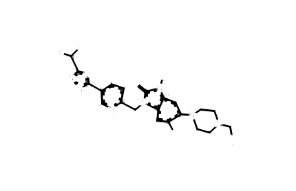 Cn1c(=O)n(Cc2ccc(-c3nnc(C(F)F)o3)cn2)c2cc(F)c(N3CCN(CC(F)(F)F)CC3)cc21